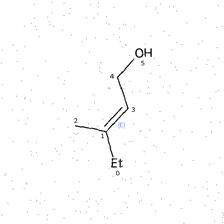 [CH2]C/C(C)=C/CO